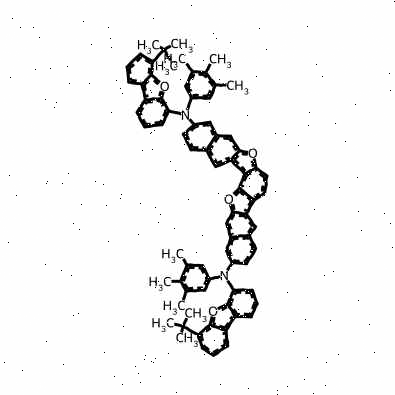 Cc1cc(N(c2ccc3cc4c(cc3c2)oc2c4ccc3oc4cc5cc(N(c6cc(C)c(C)c(C)c6)c6cccc7c6oc6c(C(C)(C)C)cccc67)ccc5cc4c32)c2cccc3c2oc2c(C(C)(C)C)cccc23)cc(C)c1C